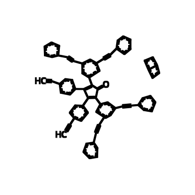 C#Cc1ccc(C2=C(c3cc(C#Cc4ccccc4)cc(C#Cc4ccccc4)c3)C(=O)C(c3cc(C#Cc4ccccc4)cc(C#Cc4ccccc4)c3)=C2c2ccc(C#C)cc2)cc1.c1cc2ccc1-2